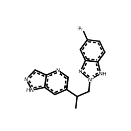 CC(C)c1ccc2[nH][n+](CC(C)c3cnc4cn[nH]c4c3)nc2c1